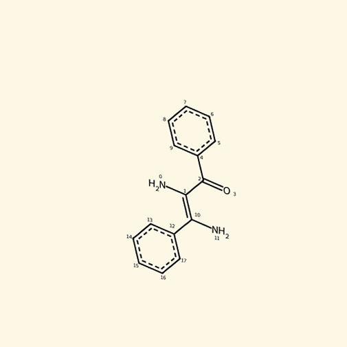 NC(C(=O)c1ccccc1)=C(N)c1ccccc1